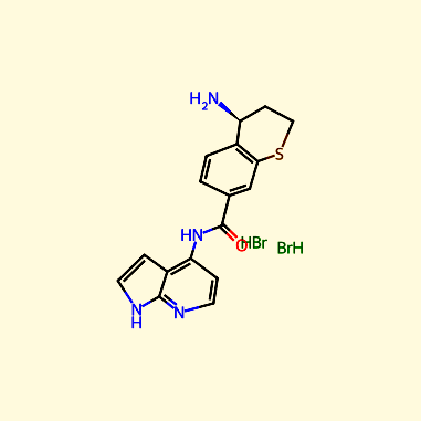 Br.Br.N[C@H]1CCSc2cc(C(=O)Nc3ccnc4[nH]ccc34)ccc21